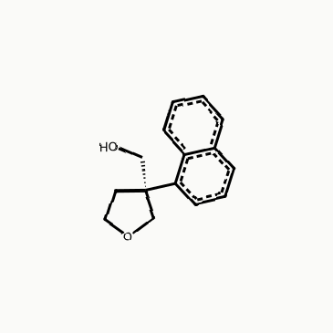 OC[C@@]1(c2cccc3ccccc23)CCOC1